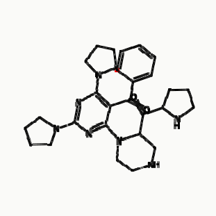 O=C(c1ccccc1)c1c(N2CCCC2)nc(N2CCCC2)nc1N1CCNCC1C(=O)C1CCCN1